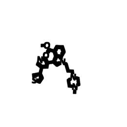 COC(=O)c1cccc2c1c(-c1cncc(-c3ccsc3)c1)cn2CCCN1CCN(C)CC1